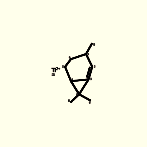 CC1C=C2C(CC1)C2(C)C.[Ti+2]